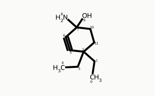 CCC1(CC)C#CC(N)(O)CC1